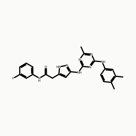 Cc1nc(Nc2ccc(C)c(C)c2)nc(Nc2cc(CC(=O)Nc3cccc(F)c3)[nH]n2)n1